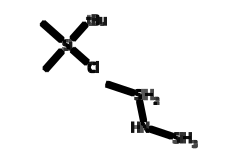 CC(C)(C)[Si](C)(C)Cl.C[SiH2]N[SiH3]